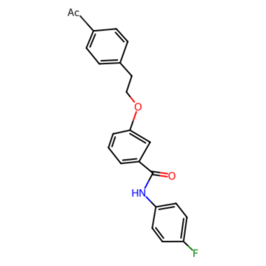 CC(=O)c1ccc(CCOc2cccc(C(=O)Nc3ccc(F)cc3)c2)cc1